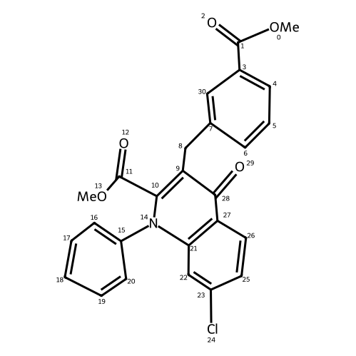 COC(=O)c1cccc(Cc2c(C(=O)OC)n(-c3ccccc3)c3cc(Cl)ccc3c2=O)c1